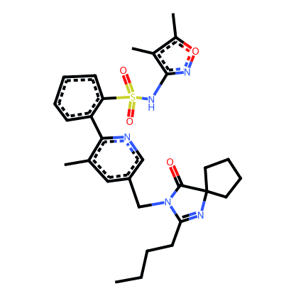 CCCCC1=NC2(CCCC2)C(=O)N1Cc1cnc(-c2ccccc2S(=O)(=O)Nc2noc(C)c2C)c(C)c1